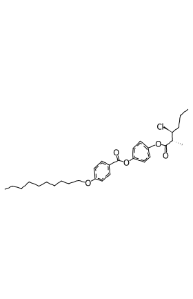 CCCCCCCCCCOc1ccc(C(=O)Oc2ccc(OC(=O)[C@@H](C)[C@@H](Cl)CCC)cc2)cc1